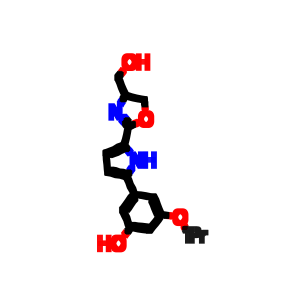 CC(C)Oc1cc(O)cc(-c2ccc(C3=NC(CO)CO3)[nH]2)c1